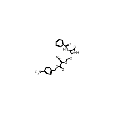 [N-]=[N+]=C(OCO[C@H]1NC(=O)[C@@H]1NC(=O)c1ccccc1)C(=O)OCc1ccc([N+](=O)[O-])cc1